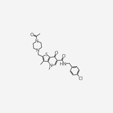 CC(=O)N1CCN(Cc2sc3c(=O)c(C(=O)NCc4ccc(Cl)cc4)cn(C)c3c2C)CC1